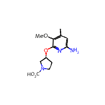 COc1c(C)cc(N)nc1O[C@H]1CCN(C(=O)O)C1